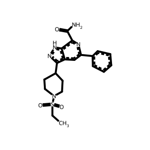 CCS(=O)(=O)N1CCC(c2n[nH]c3c(C(N)=O)nc(-c4ccccc4)cc23)CC1